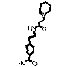 O=C(CCN1CCCCC1)NCCc1ccc(C(=O)O)cc1